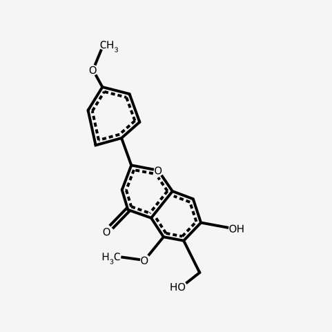 COc1ccc(-c2cc(=O)c3c(OC)c(CO)c(O)cc3o2)cc1